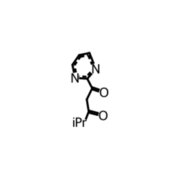 CC(C)C(=O)CC(=O)c1ncccn1